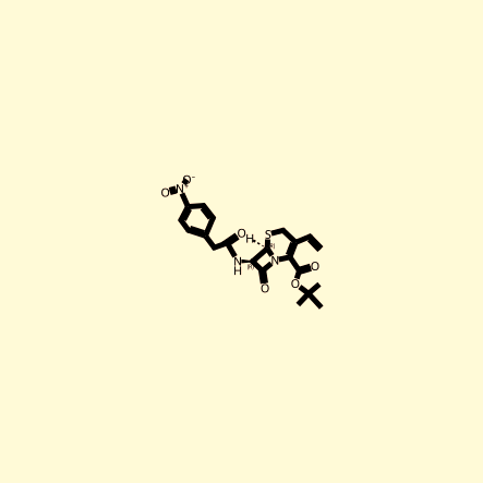 C=CC1=C(C(=O)OC(C)(C)C)N2C(=O)[C@@H](NC(=O)Cc3ccc([N+](=O)[O-])cc3)[C@H]2SC1